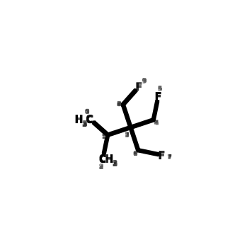 CC(C)C(CF)(CF)CF